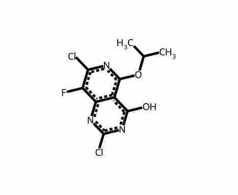 CC(C)Oc1nc(Cl)c(F)c2nc(Cl)nc(O)c12